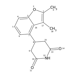 Cc1oc2cccc(C3CC(=O)NC(=O)C3)c2c1C